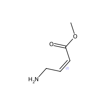 COC(=O)/C=C\CN